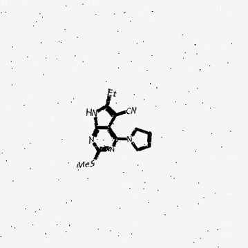 CCc1[nH]c2nc(SC)nc(N3CCCC3)c2c1C#N